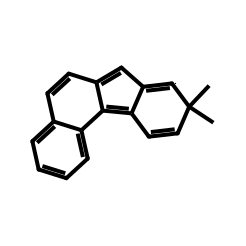 CC1(C)[C]=C2C=c3ccc4ccccc4c3=C2C=C1